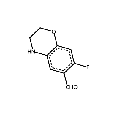 O=Cc1cc2c(cc1F)OCCN2